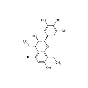 CCc1c(O)cc(O)c2c1O[C@H](c1cc(O)c(O)c(O)c1)[C@H](O)[C@H]2CC